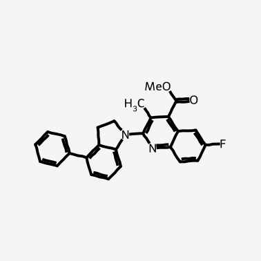 COC(=O)c1c(C)c(N2CCc3c(-c4ccccc4)cccc32)nc2ccc(F)cc12